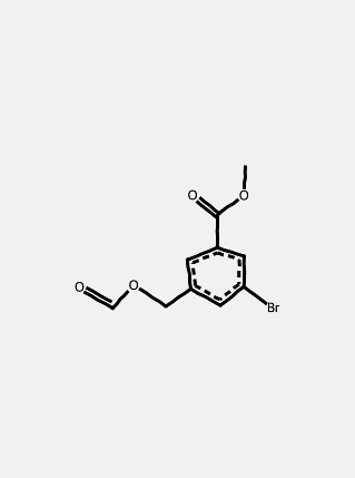 COC(=O)c1cc(Br)cc(COC=O)c1